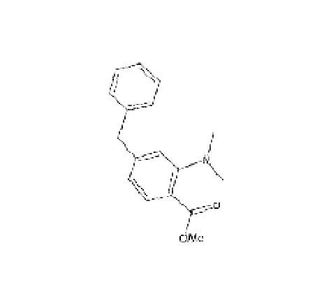 COC(=O)c1ccc(Cc2ccccc2)cc1N(C)C